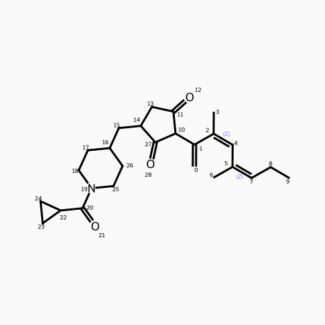 C=C(/C(C)=C\C(C)=C/CC)C1C(=O)CC(CC2CCN(C(=O)C3CC3)CC2)C1=O